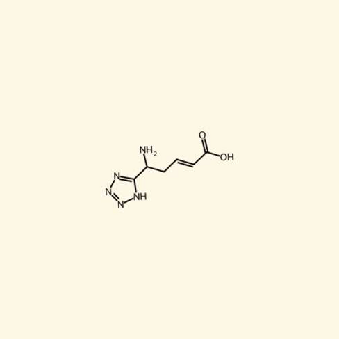 NC(CC=CC(=O)O)c1nnn[nH]1